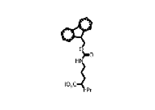 CCCC(CCCNC(=O)OCC1c2ccccc2-c2ccccc21)C(=O)O